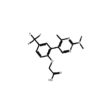 Cc1nc(N(C)C)ncc1-c1cc(C(F)(F)F)ccc1OCC(=O)O